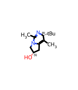 CC1=N[C@H](C(C)(C)C)C(C)=C2C[C@H](O)CN12